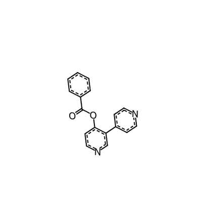 O=C(Oc1ccncc1-c1ccncc1)c1ccccc1